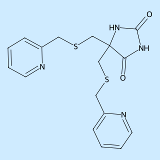 O=C1NC(=O)C(CSCc2ccccn2)(CSCc2ccccn2)N1